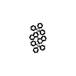 [C]1=C([Si](c2ccccc2)(c2ccccc2)c2ccccc2)Cc2ccccc2[C@@H]1c1[c]c([Si](c2ccccc2)(c2ccccc2)c2ccccc2)cc2ccccc12